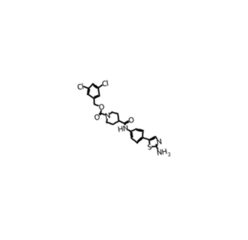 Nc1ncc(-c2ccc(NC(=O)C3CCN(C(=O)OCc4cc(Cl)cc(Cl)c4)CC3)cc2)s1